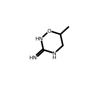 CC1CNC(=N)NO1